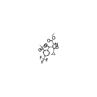 CCOC(=O)c1noc(C2CC2)c1C(=O)c1ccc(C(F)(F)F)cc1S(C)(=O)=O